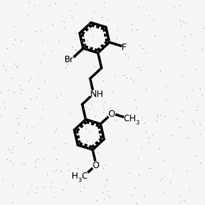 COc1ccc(CNCCc2c(F)cccc2Br)c(OC)c1